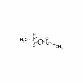 CCCCOC(=O)N1CCN(C(=O)C(N)CCC)CC1